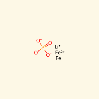 O=P([O-])([O-])[O-].[Fe+2].[Fe].[Li+]